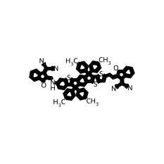 Cc1ccc(C2(c3ccc(C)cc3)c3cc4c(cc3-c3sc5cc(N/C=C6\C(=O)c7ccccc7C6=C(C#N)C#N)ccc5c32)C(c2ccc(C)cc2)(c2ccc(C)cc2)c2c-4sc3cc(C/C=C4\C(=O)c5ccccc5C4=C(C#N)C#N)sc23)cc1